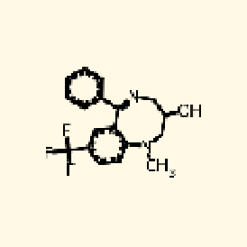 CN1CC(O)C/N=C(/c2ccccc2)c2cc(C(F)(F)F)ccc21